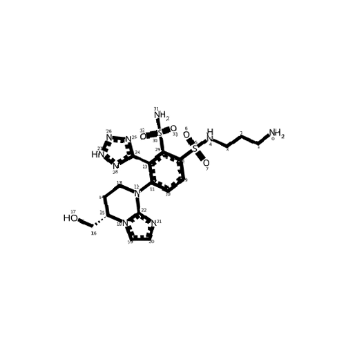 NCCCNS(=O)(=O)c1ccc(N2CC[C@@H](CO)n3ccnc32)c(-c2nn[nH]n2)c1S(N)(=O)=O